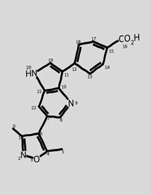 Cc1noc(C)c1-c1cnc2c(-c3ccc(C(=O)O)cc3)c[nH]c2c1